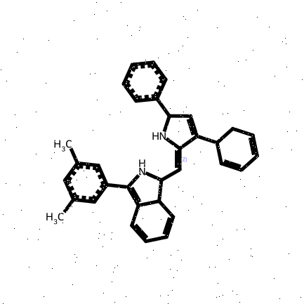 Cc1cc(C)cc(C2=C3C=CC=CC3C(/C=C3\NC(c4ccccc4)C=C3C3C=CC=CC3)N2)c1